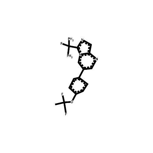 CC(F)(F)Oc1ccc(-c2cnc3cnc(C(F)(P)P)n3c2)cc1